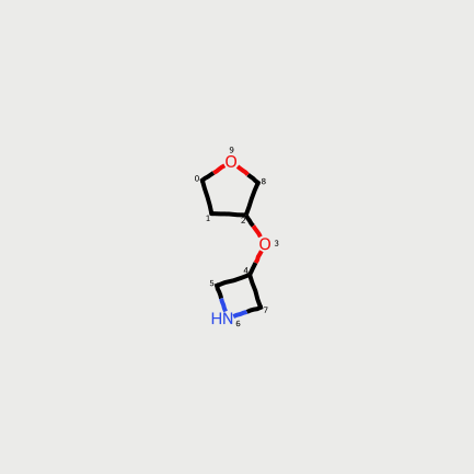 C1CC(OC2CNC2)CO1